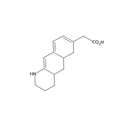 O=C(O)CC1=CC=C2C=C3NCCCC3CC2C1